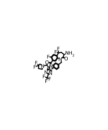 N[C@@H]1CC(F)(F)c2cc(F)c(-c3nnc(N4CCC(F)(F)C4)o3)cc2N(Cc2ccc(-n3cnc(C(F)(F)F)n3)cc2)C1=O